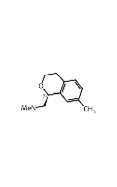 CNC[C@H]1OCCc2ccc(C)cc21